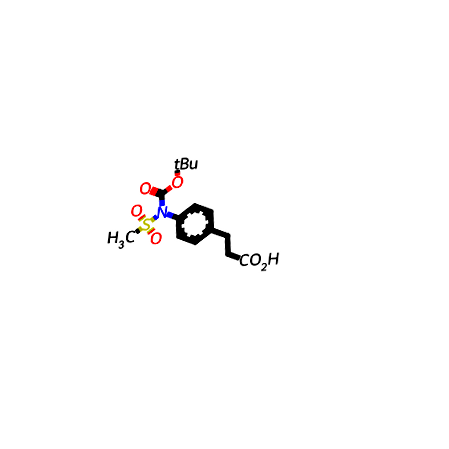 CC(C)(C)OC(=O)N(c1ccc(CCC(=O)O)cc1)S(C)(=O)=O